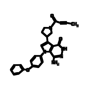 CC#CC(=O)N1CCC(c2cn(-c3ccc(Oc4ccccc4)cc3)c3c(N)n[nH]c(=O)c23)C1